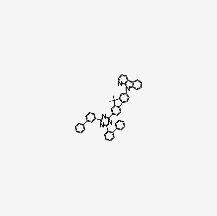 CC1(C)c2cc(-c3nc(-c4cccc(-c5ccccc5)c4)nc(-c4ccccc4-c4ccccc4)n3)ccc2-c2ccc(-n3c4ccccc4c4cccnc43)cc21